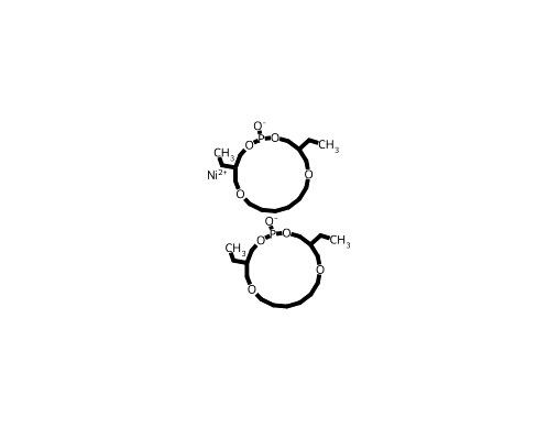 CCC1COCCCCCCOCC(CC)COP([O-])OC1.CCC1COCCCCCCOCC(CC)COP([O-])OC1.[Ni+2]